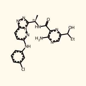 CCC(O)c1cnc(N)c(C(=O)N[C@H](C)c2nnc3ccc(Nc4cccc(Cl)c4)nn23)n1